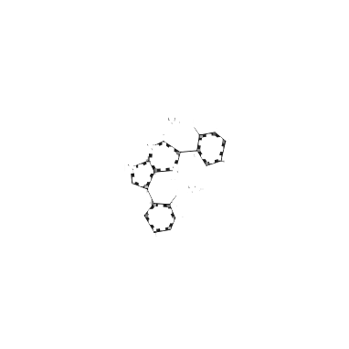 COc1ccccc1-c1cnc2[nH]cc(-c3ccccc3OC)c2n1